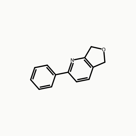 c1ccc(-c2ccc3c(n2)COC3)cc1